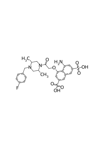 CC1CN(C(=O)COc2cc(S(=O)(=O)O)cc3cc(S(=O)(=O)O)cc(N)c23)C(C)CN1Cc1ccc(F)cc1